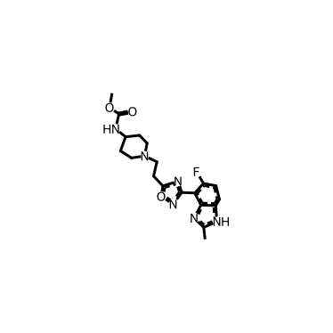 COC(=O)NC1CCN(CCc2nc(-c3c(F)ccc4[nH]c(C)nc34)no2)CC1